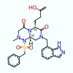 C=C(O)CC[C@H]1C(=O)N(Cc2cccc3cn[nH]c23)C[C@H]2N1C(=O)CN(C)N2S(=O)(=O)Cc1ccccc1